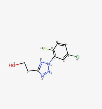 OCCc1nnn(-c2cc(Cl)ccc2F)n1